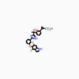 CC(O)(c1cccc(C2CC2C(=O)O)c1)c1c[nH]c(-c2cccc(Oc3c(F)cc4[nH]ccc4c3F)c2)n1